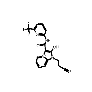 N#CCCn1c(O)c(C(=O)Nc2cccc(C(F)(F)F)n2)[n+]2ccccc12